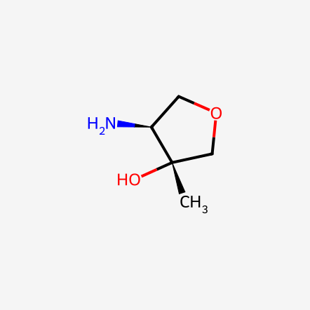 C[C@]1(O)COC[C@@H]1N